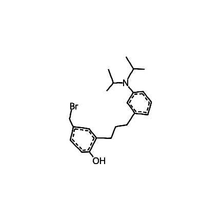 CC(C)N(c1cccc(CCCc2cc(CBr)ccc2O)c1)C(C)C